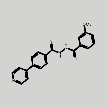 COc1cccc(C(=O)NNC(=O)c2ccc(-c3ccncc3)cc2)c1